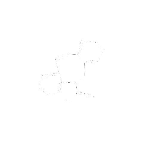 O=C(S)N1Cc2ccccc2C#Cc2ccccc21